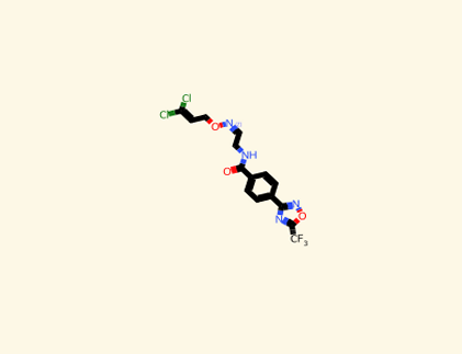 O=C(NC/C=N\OCC=C(Cl)Cl)c1ccc(-c2noc(C(F)(F)F)n2)cc1